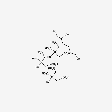 O=C(O)CC(O)(CC(=O)O)C(=O)O.O=C(O)CC(O)(CC(=O)O)C(=O)O.O=C(O)CC(O)(CC(=O)O)C(=O)O.OCCCCC(O)CO